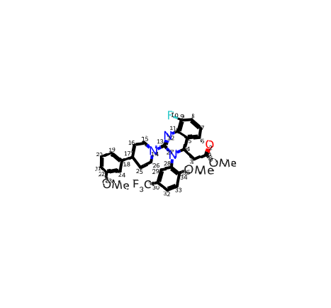 COC(=O)CC1c2cccc(F)c2N=C(N2CCC(c3cccc(OC)c3)CC2)N1c1cc(C(F)(F)F)ccc1OC